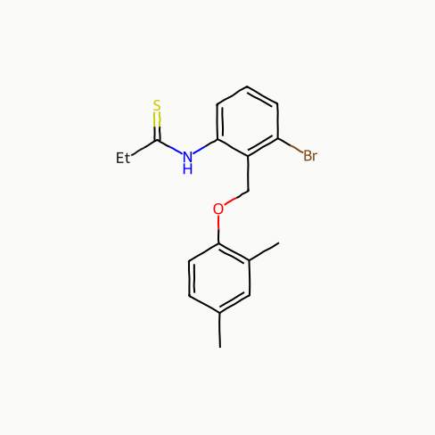 CCC(=S)Nc1cccc(Br)c1COc1ccc(C)cc1C